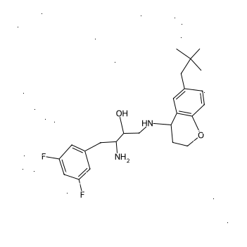 CC(C)(C)Cc1ccc2c(c1)C(NCC(O)C(N)Cc1cc(F)cc(F)c1)CCO2